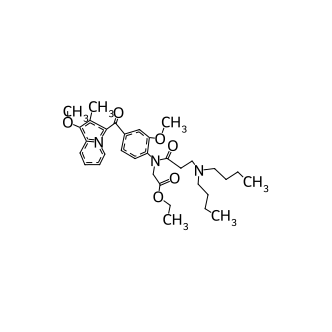 CCCCN(CCCC)CCC(=O)N(CC(=O)OCC)c1ccc(C(=O)c2c(C)c(OC)c3ccccn23)cc1OC